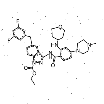 CCOC(=O)n1nc(NC(=O)c2ccc(N3CCN(C)CC3)cc2NC2CCOCC2)c2cc(Cc3cc(F)cc(F)c3)ccc21